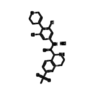 CS(=O)(=O)c1ccc2c(c1)CCNC2C(=O)Nc1cc(Cl)c(C2=CCOCC2)c(Cl)c1.Cl